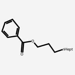 CCCCCCCCCCOC(=O)c1[c]cccc1